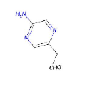 Nc1cnc(CC=O)cn1